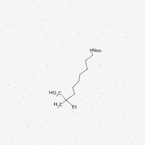 CCCCCCCCCCCCCCCCC(C)(CC)C(=O)O